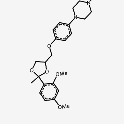 COc1ccc(C2(C)OCC(COc3ccc(N4CCN(C(C)=O)CC4)cc3)O2)c(OC)c1